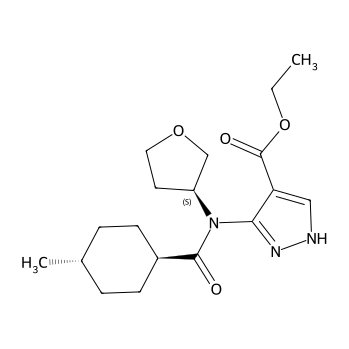 CCOC(=O)c1c[nH]nc1N(C(=O)[C@H]1CC[C@H](C)CC1)[C@H]1CCOC1